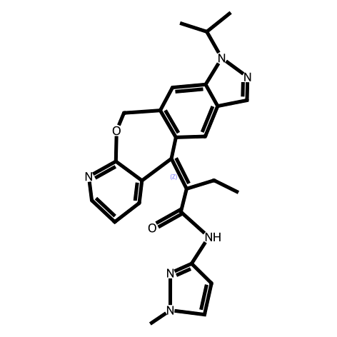 CC/C(C(=O)Nc1ccn(C)n1)=C1\c2cc3cnn(C(C)C)c3cc2COc2ncccc21